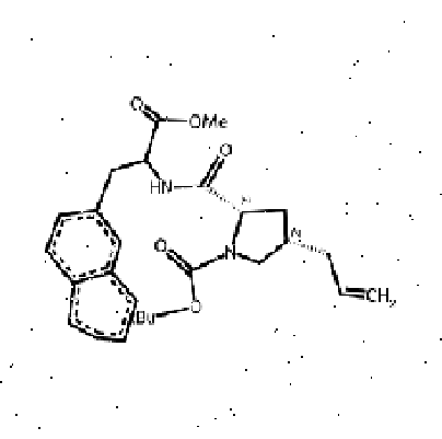 C=CC[C@H]1C[C@@H](C(=O)NC(Cc2ccc3ccccc3c2)C(=O)OC)N(C(=O)OC(C)(C)C)C1